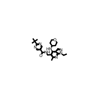 CCn1ncc2c(NC3CCOCC3)c(CNC(=O)c3cnc(C(C)(C)C)nc3)c(C)nc21